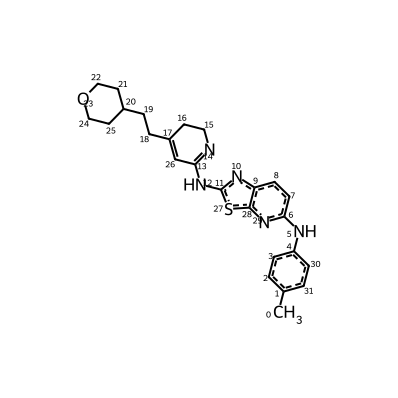 Cc1ccc(Nc2ccc3nc(NC4=NCCC(CCC5CCOCC5)=C4)sc3n2)cc1